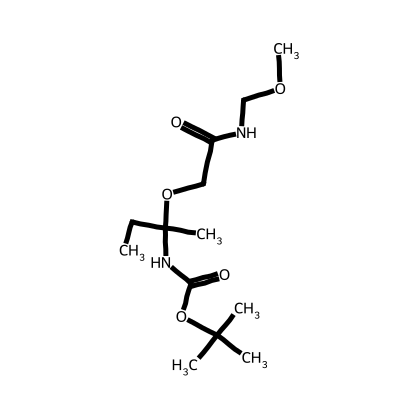 CCC(C)(NC(=O)OC(C)(C)C)OCC(=O)NCOC